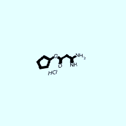 Cl.N=C(N)CC(=O)OC1CCCC1